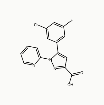 O=C(O)c1cc(-c2cc(F)cc(Cl)c2)n(-c2ccccn2)n1